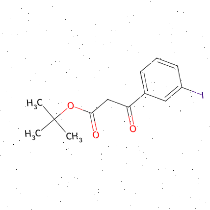 CC(C)(C)OC(=O)CC(=O)c1cccc(I)c1